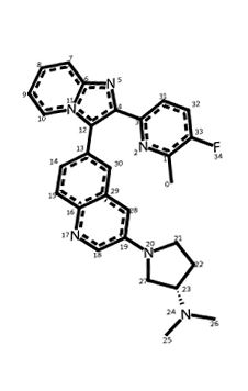 Cc1nc(-c2nc3ccccn3c2-c2ccc3ncc(N4CC[C@H](N(C)C)C4)cc3c2)ccc1F